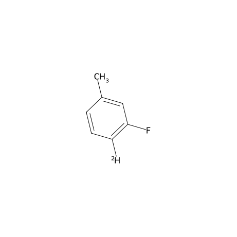 [2H]c1ccc(C)cc1F